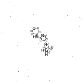 c1cc(N2C[C@H]3CCN[C@H]3C2)cc(NC2CCOCC2)n1